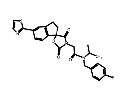 CC(N(Cc1ccc(F)cc1)C(=O)CN1C(=O)O[C@@]2(CCc3cc(-c4nccs4)ccc32)C1=O)C(F)(F)F